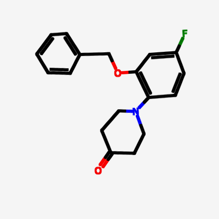 O=C1CCN(c2ccc(F)cc2OCc2ccccc2)CC1